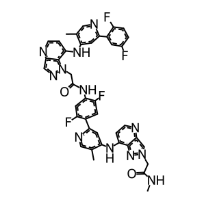 CNC(=O)Cn1cc2nccc(Nc3cc(-c4cc(F)c(NC(=O)Cn5ncc6nccc(Nc7cc(-c8cc(F)ccc8F)ncc7C)c65)cc4F)ncc3C)c2n1